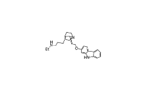 CCNCCCC1C(=CCOc2ccc3c(c2)[nH]c2ccccc23)N2CCC1CC2